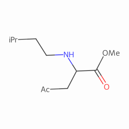 COC(=O)C(CC(C)=O)NCCC(C)C